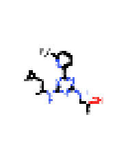 CC(=CC1CC1)Nc1nc(NCC(C)O)nc(-c2cccc(C(F)(F)F)n2)n1